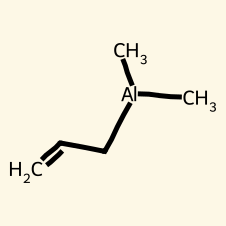 C=C[CH2][Al]([CH3])[CH3]